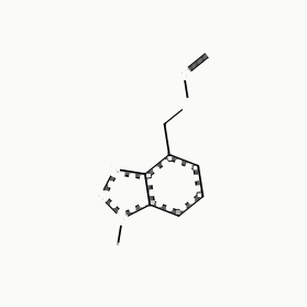 C=NOCc1cccc2c1nnn2CC